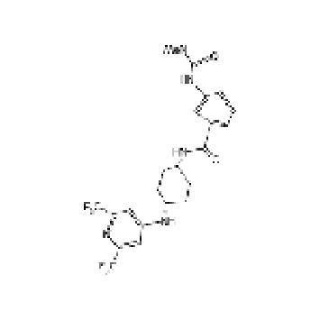 CNC(=O)Nc1cccc(C(=O)N[C@H]2CC[C@@H](Nc3cc(C(F)(F)F)nc(C(F)(F)F)c3)CC2)c1